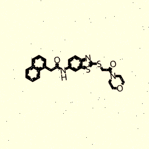 O=C(Cc1cccc2ccccc12)Nc1ccc2nc(SCC(=O)N3CCOCC3)sc2c1